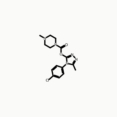 Cc1nnc(OC(=O)N2CCN(C)CC2)n1-c1ccc(Cl)cc1